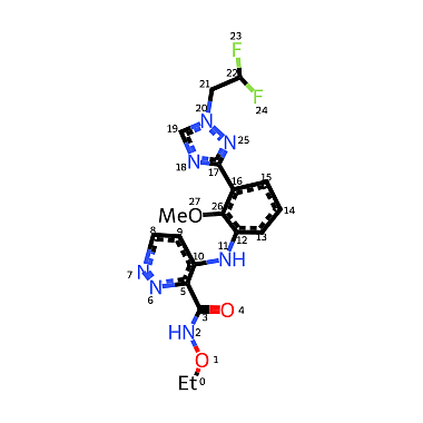 CCONC(=O)c1nnccc1Nc1cccc(-c2ncn(CC(F)F)n2)c1OC